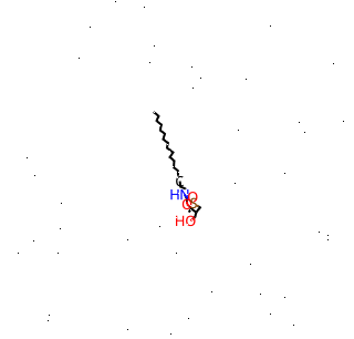 CCCCCCCCCCCCCCCCCCNC(=O)OC1(C)SCC1CO